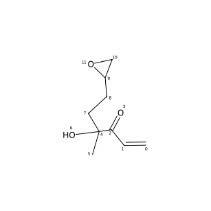 C=CC(=O)C(C)(O)CCC1CO1